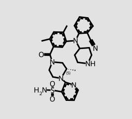 Cc1cc(C)c(N(c2ccccc2C#N)C2CCNCC2)cc1C(=O)N1CCN(c2ncccc2S(N)(=O)=O)[C@@H](C)C1